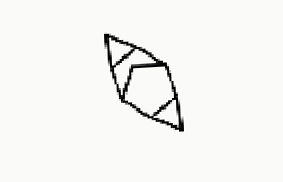 C1C2C1C1CC2C2CC21